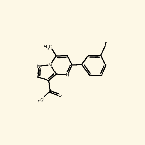 Cc1cc(-c2cccc(F)c2)nc2c(C(=O)O)cnn12